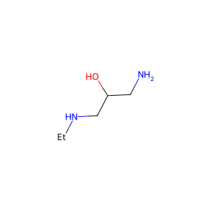 CCNCC(O)CN